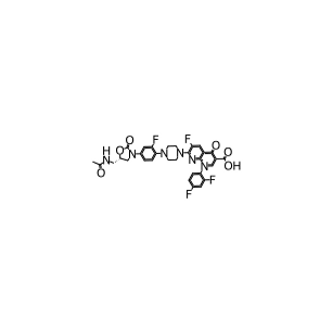 CC(=O)NC[C@H]1CN(c2ccc(N3CCN(c4nc5c(cc4F)c(=O)c(C(=O)O)cn5-c4ccc(F)cc4F)CC3)c(F)c2)C(=O)O1